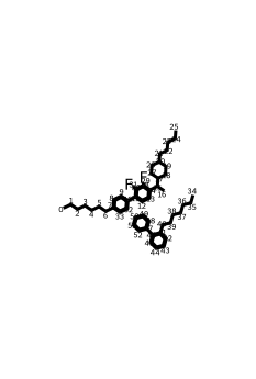 CCCCCCCc1ccc(-c2ccc(C(C)C3CCC(CCCCC)CC3)c(F)c2F)cc1.CCCCCCCc1ccccc1-c1ccccc1